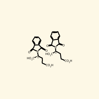 O=C(O)CC[C@@H](C(=O)O)N1C(=O)c2ccccc2C1=O.O=C(O)CC[C@@H](C(=O)O)N1C(=O)c2ccccc2C1=O